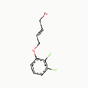 Fc1cccc(OCC=CCBr)c1F